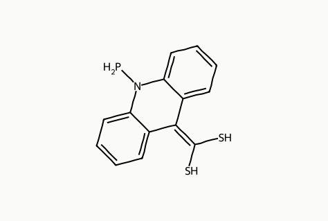 PN1c2ccccc2C(=C(S)S)c2ccccc21